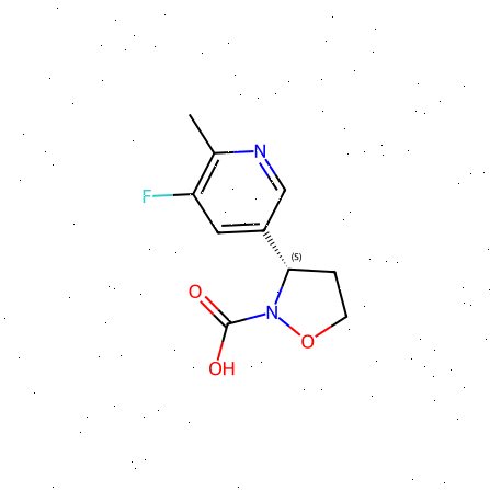 Cc1ncc([C@@H]2CCON2C(=O)O)cc1F